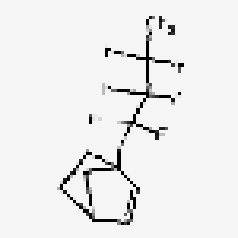 FC(F)(F)C(F)(F)C(F)(F)C(F)(F)C12C=CC(CC1)C2